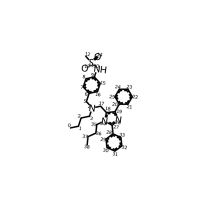 CCCCN(Cc1ccc(NS(C)(=O)=O)cc1)Cc1c(-c2ccccc2)nc(-c2ccccc2)n1CCCC